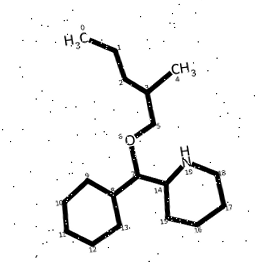 CCCC(C)COC(C1CCCCC1)C1CCCCN1